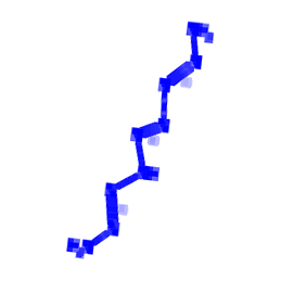 N/N=N/N=N/N/N=N/N